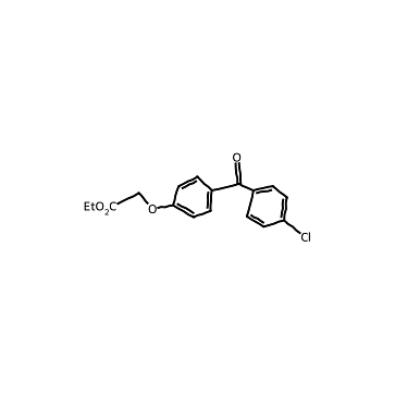 CCOC(=O)COc1ccc(C(=O)c2ccc(Cl)cc2)cc1